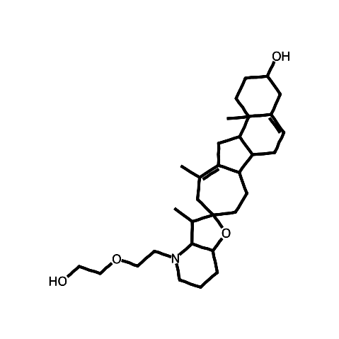 CC1=C2CC3C(CC=C4CC(O)CCC43C)C2CCC2(C1)OC1CCCN(CCOCCO)C1C2C